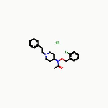 CC(=O)N(OCc1ccccc1F)C1CCN(CCc2ccccc2)CC1.Cl